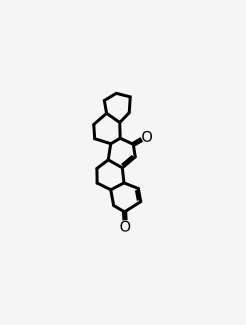 O=C1C=CC2C3=CC(=O)C4C5CCCCC5CCC4C3CCC2C1